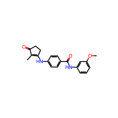 COc1cccc(NC(=O)c2ccc(NC3=C(C)C(=O)CC3)cc2)c1